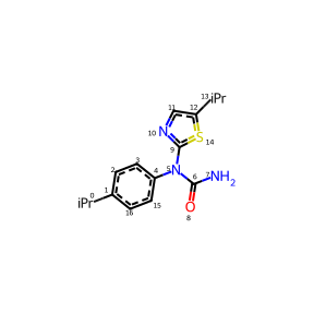 CC(C)c1ccc(N(C(N)=O)c2ncc(C(C)C)s2)cc1